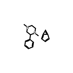 CN1CCN(C)C(c2ccccc2)C1.c1cc2cc-2c1